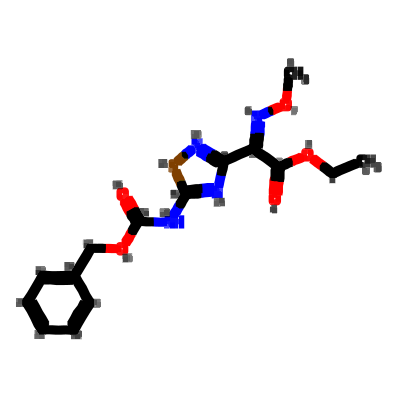 CCOC(=O)C(=NOC)c1nsc(NC(=O)OCc2ccccc2)n1